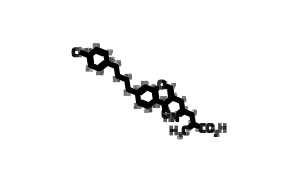 CC(CC(=N)Cc1coc2cc(CCCCc3ccc(Cl)cc3)ccc2c1=O)C(=O)O